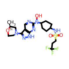 C[C@H]1CN(c2n[nH]c3nc(N(O)C4CCC(NS(=O)(=O)CCC(F)(F)F)CC4)ncc23)CCO1